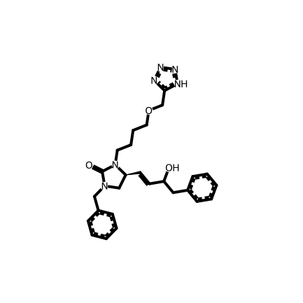 O=C1N(Cc2ccccc2)C[C@H](C=CC(O)Cc2ccccc2)N1CCCCOCc1nnn[nH]1